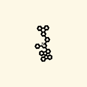 c1ccc(-c2cc(-c3cccc4c3-c3ccccc3C43c4ccccc4-c4ccccc43)cc(-c3cccc(-c4ccc5c6ccccc6c6ccccc6c5c4)c3)n2)cc1